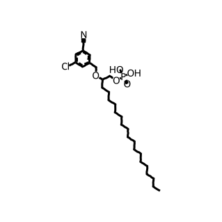 CCCCCCCCCCCCCCCCCCC(COP(=O)(O)O)OCc1cc(Cl)cc(C#N)c1